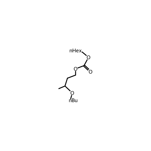 CCCCCCOC(=O)OCCC(C)OCCCC